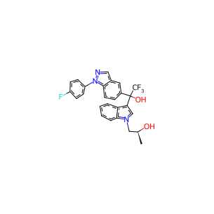 C[C@H](O)Cn1cc(C(O)(c2ccc3c(cnn3-c3ccc(F)cc3)c2)C(F)(F)F)c2ccccc21